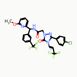 COc1cccc(C(NC(=O)Cn2nc(-c3ccc(Cl)cc3)n(/C=C/C(F)(F)F)c2=O)c2cccc(C(F)(F)F)c2)n1